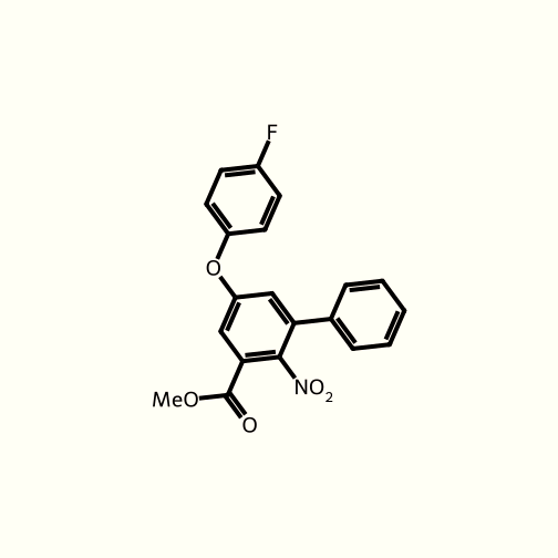 COC(=O)c1cc(Oc2ccc(F)cc2)cc(-c2ccccc2)c1[N+](=O)[O-]